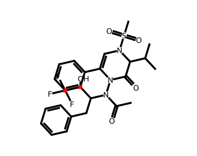 CC(=O)N(C(Cc1ccccc1)C(O)C(F)(F)F)N1C(=O)C(C(C)C)N(S(C)(=O)=O)C=C1c1ccccc1